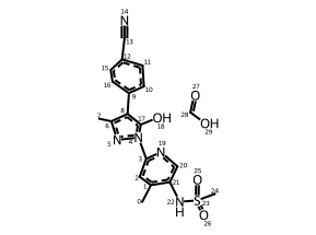 Cc1cc(-n2nc(C)c(-c3ccc(C#N)cc3)c2O)ncc1NS(C)(=O)=O.O=CO